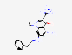 CCn1cc(-c2nnn[nH]2)c(=O)c2c(N)c(F)c(NCCc3ccccc3)cc21